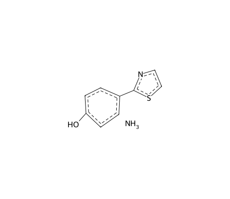 N.Oc1ccc(-c2nccs2)cc1